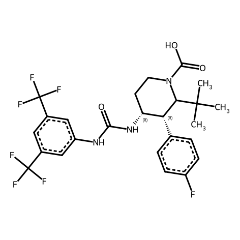 CC(C)(C)C1[C@H](c2ccc(F)cc2)[C@H](NC(=O)Nc2cc(C(F)(F)F)cc(C(F)(F)F)c2)CCN1C(=O)O